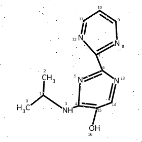 CC(C)Nc1nc(-c2ncccn2)ncc1O